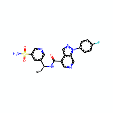 CCC[C@H](NC(=O)c1cncc2c1cnn2-c1ccc(F)cc1)c1cncc(S(N)(=O)=O)c1